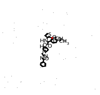 COC(=O)c1sccc1NC(C(=O)O[C@H]1C[N+]2(Cc3noc(-c4ccccc4)n3)CCC1CC2)c1ccc(OC)nc1